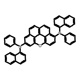 c1ccc(N(c2cc3c4c(ccc5ccc6c(N(c7ccccc7)c7cccc8ccccc78)ccc(c6c54)O3)c2)c2cccc3ccccc23)cc1